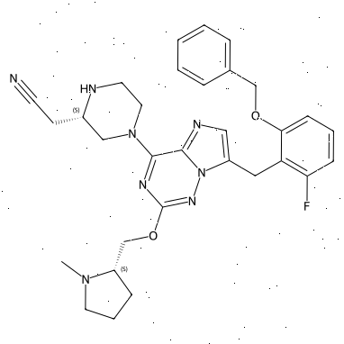 CN1CCC[C@H]1COc1nc(N2CCN[C@@H](CC#N)C2)c2ncc(Cc3c(F)cccc3OCc3ccccc3)n2n1